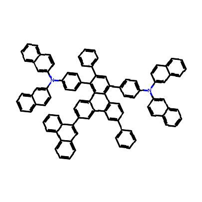 c1ccc(-c2ccc3c(c2)c2cc(-c4cc5ccccc5c5ccccc45)ccc2c2c(-c4ccc(N(c5ccc6ccccc6c5)c5ccc6ccccc6c5)cc4)c(-c4ccccc4)cc(-c4ccc(N(c5ccc6ccccc6c5)c5ccc6ccccc6c5)cc4)c32)cc1